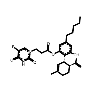 C=C(C)[C@H]1CCC(C)=C[C@@H]1c1c(O)cc(CCCCC)cc1OC(=O)CCn1cc(F)c(=O)[nH]c1=O